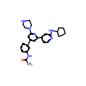 CC(=O)Nc1cccc(-c2cc(-c3ccnc(NC4CCCCC4)c3)nc(N3CCNCC3)c2)c1